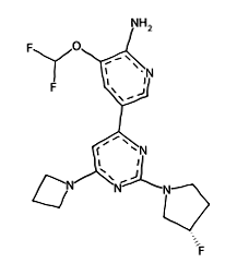 Nc1ncc(-c2cc(N3CCC3)nc(N3CC[C@H](F)C3)n2)cc1OC(F)F